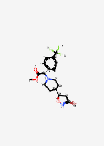 COC(=O)[C@H](c1ccc(C(F)(F)F)cc1)N1CCC([C@H]2CC(Br)=NO2)CC1